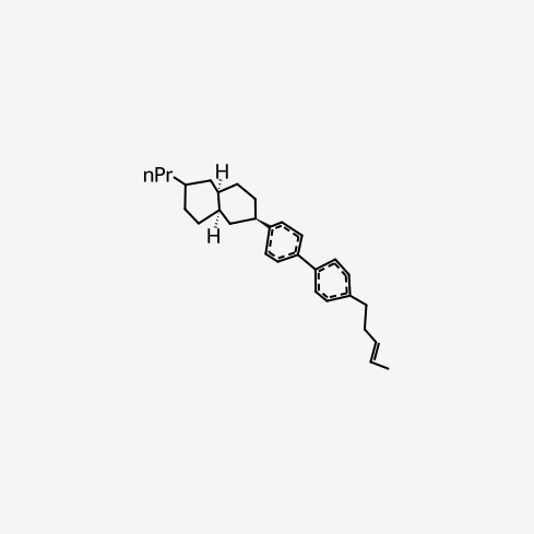 C/C=C/CCc1ccc(-c2ccc([C@@H]3CC[C@@H]4CC(CCC)CC[C@@H]4C3)cc2)cc1